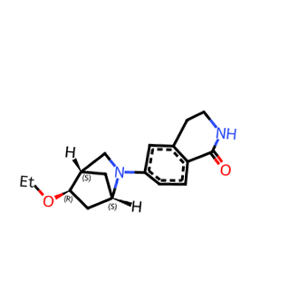 CCO[C@@H]1C[C@@H]2C[C@H]1CN2c1ccc2c(c1)CCNC2=O